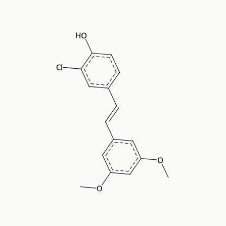 COc1cc(/C=C/c2ccc(O)c(Cl)c2)cc(OC)c1